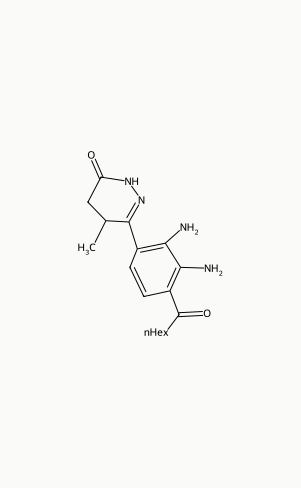 CCCCCCC(=O)c1ccc(C2=NNC(=O)CC2C)c(N)c1N